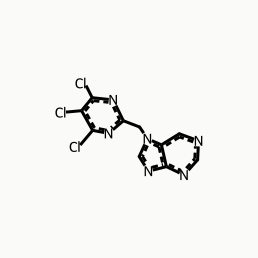 Clc1nc(Cn2cnc3ncncc32)nc(Cl)c1Cl